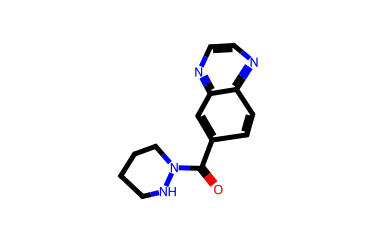 O=C(c1ccc2nccnc2c1)N1CCCCN1